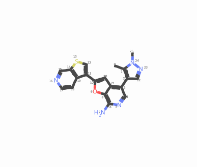 Cc1c(-c2cnc(N)c3oc(-c4csc5cnccc45)cc23)cnn1C